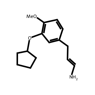 COc1ccc(CC=CN)cc1OC1CCCC1